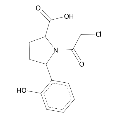 O=C(O)C1CCC(c2ccccc2O)N1C(=O)CCl